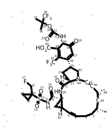 C[C@@H]1CC/C=C\[C@@H]2C[C@@]2(C(=O)NS(=O)(=O)C2(CF)CC2)NC(=O)[C@@H]2C[C@H](C3=CC(=O)[C@@H](NC(=O)OC(C)(C)C(F)(F)F)C(C(=O)O)=C3C(F)(F)F)CN2CC[C@H](C)C1